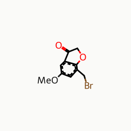 COc1cc(CBr)c2c(c1)C(=O)CO2